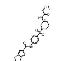 C=CC(=O)N[C@H]1CCCN(S(=O)(=O)c2ccc(NC(=O)c3cc4c(s3)CCC4)cc2)C1